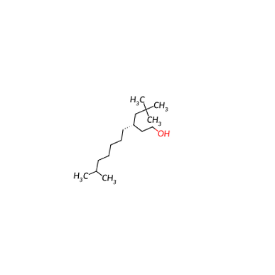 CC(C)CCCCC[C@@H](CCO)CC(C)(C)C